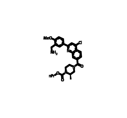 CCCOC(=O)N1CCN(C(=O)c2ccc3c(Cl)cc(-c4ccc(OC)c(CN)c4)nc3c2)C[C@H]1C